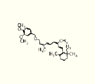 COc1ccc(COCC=C(C)C=CC=C(C)C=CC2=C(C)CCCC2(C)C)cc1OC